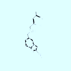 [C-]#[N+]c1cc2cc(CNC/C(S)=C/C(C)=N)ccc2[nH]1